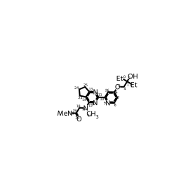 CCC(O)(CC)COc1ccnc(-c2nc3c(c(N(C)CC(=O)NC)n2)CCC3)c1